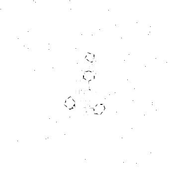 CP(=O)(O[C@@H](NC(=O)c1cnc(-n2cccn2)nc1O)c1ccccc1)c1ccccc1